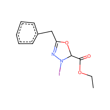 CCOC(=O)C1OC(Cc2ccccc2)=NN1I